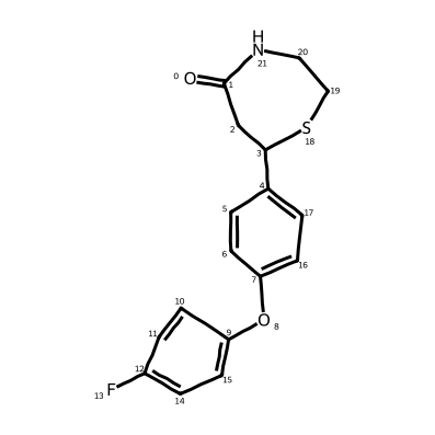 O=C1CC(c2ccc(Oc3ccc(F)cc3)cc2)SCCN1